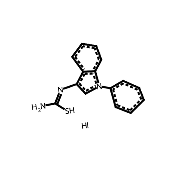 I.NC(S)=Nc1cn(-c2ccccc2)c2ccccc12